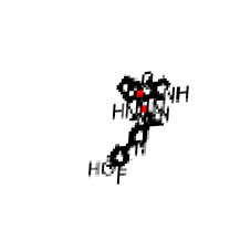 O=C1CCNc2c1c(C1CC3CCC(C1)N3C(=O)c1nnc[nH]1)nc1c(-c3ccc(-c4ccc(O)c(F)c4)nc3)cnn21